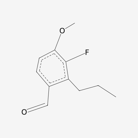 CCCc1c(C=O)ccc(OC)c1F